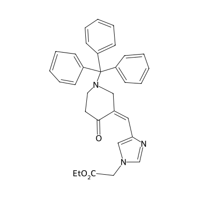 CCOC(=O)Cn1cnc(C=C2CN(C(c3ccccc3)(c3ccccc3)c3ccccc3)CCC2=O)c1